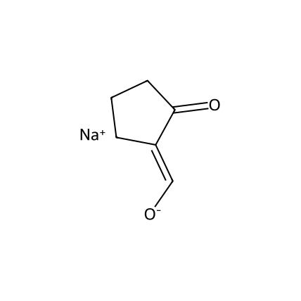 O=C1CCCC1=C[O-].[Na+]